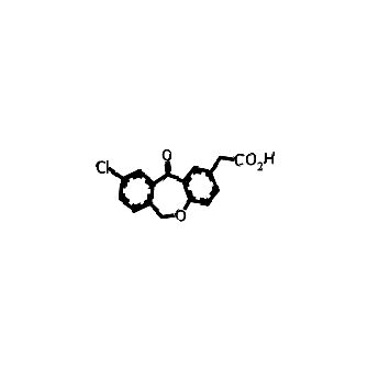 O=C(O)Cc1ccc2c(c1)C(=O)c1cc(Cl)ccc1CO2